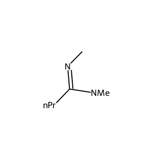 CCCC(=NC)NC